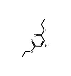 CCOC(=O)/C=C\C(=O)OCC.[H+]